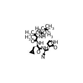 CC(C)(C)OC(=O)N[C@H](C(=O)N[C@@H](CC1CC1)C(=O)N[C@H](C#N)C[C@@H]1CCNC1=O)C(C)(C)C